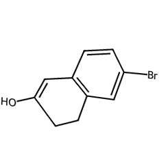 OC1=Cc2ccc(Br)cc2CC1